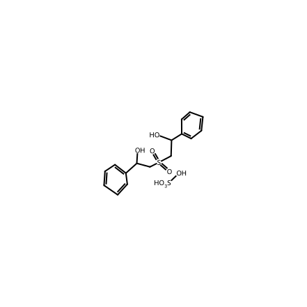 O=S(=O)(CC(O)c1ccccc1)CC(O)c1ccccc1.O=S(=O)(O)O